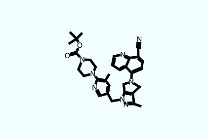 Cc1cc(Cn2nc(C)c3c2CN(c2ccc(C#N)c4ncccc24)C3)cnc1N1CCN(C(=O)OC(C)(C)C)CC1